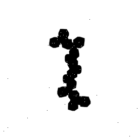 c1ccc(N(c2ccc3c(c2)oc2cc4c(cc23)oc2cc3c(cc24)oc2cc(N(c4ccccc4)c4ccc5c(c4)c4ccccc4n5-c4ccccc4)ccc23)c2ccc3c(c2)c2ccccc2n3-c2ccccc2)cc1